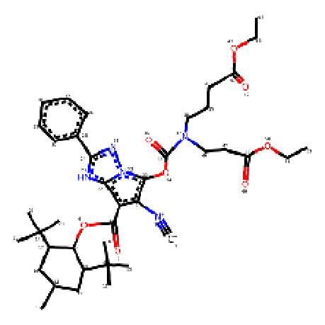 [C-]#[N+]c1c(C(=O)OC2C(C(C)(C)C)CC(C)CC2C(C)(C)C)c2[nH]c(-c3ccccc3)nn2c1OC(=O)N(CCCC(=O)OCC)CCC(=O)OCC